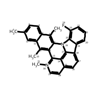 Cc1ccc2c(C)c3c(c(C)c2c1)c1c2c(ccc4c5cccc(F)c5n3c42)cc[n+]1C